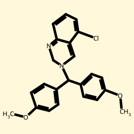 COc1ccc(C(c2ccc(OC)cc2)N2C=c3c(Cl)cccc3=NC2)cc1